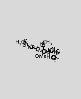 COc1cc(N2CCC(N3CCN(CCS(C)(=O)=O)CC3)CC2)c(-c2cnn(C)c2)cc1Nc1cc(N2OCC[C@@H]2c2cccc(F)c2F)ncn1